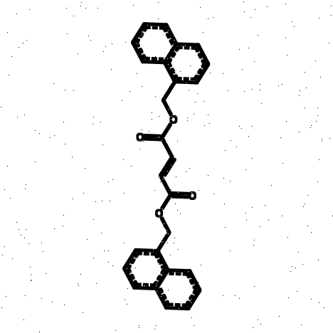 O=C(/C=C/C(=O)OCc1cccc2ccccc12)OCc1cccc2ccccc12